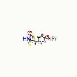 CCCOc1ccc(/C=C2\SC(=O)NC2=S)cc1